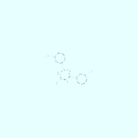 Clc1nc(-c2cccc(Br)c2)nc(-c2cccc(Br)c2)n1